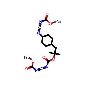 CC(C)(C)OC(=O)N=C=NC(=O)OC(C)(C)CC1CCC(N=C=NC(=O)OC(C)(C)C)CC1